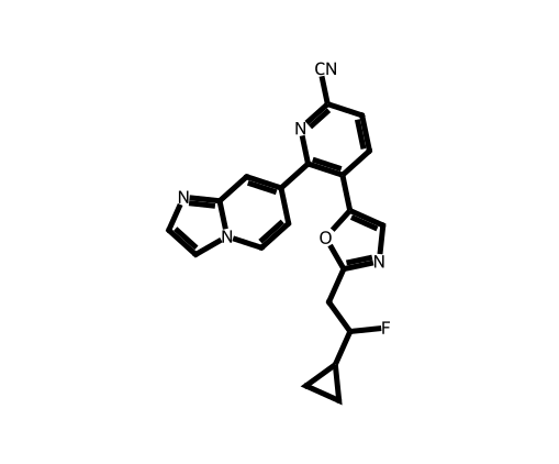 N#Cc1ccc(-c2cnc(CC(F)C3CC3)o2)c(-c2ccn3ccnc3c2)n1